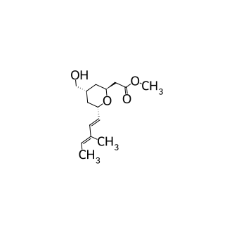 C/C=C(C)/C=C/[C@@H]1C[C@H](CO)C[C@@H](CC(=O)OC)O1